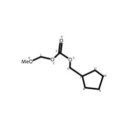 COCOC(=O)OCC1CCCC1